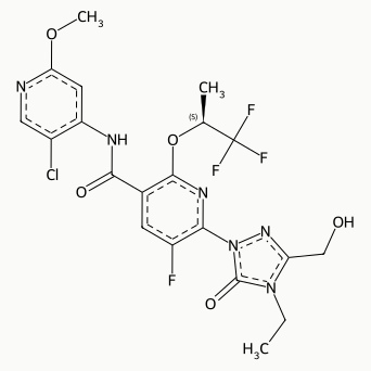 CCn1c(CO)nn(-c2nc(O[C@@H](C)C(F)(F)F)c(C(=O)Nc3cc(OC)ncc3Cl)cc2F)c1=O